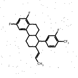 CC=CC1CCC2c3cc(F)cc(F)c3CCC2C1c1ccc(C(F)(F)F)c(F)c1